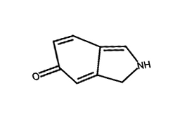 O=C1C=CC2=CNCC2=C1